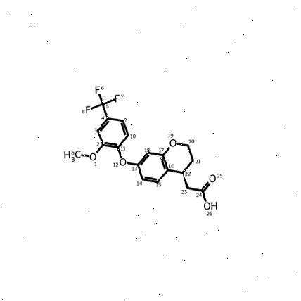 COc1cc(C(F)(F)F)ccc1Oc1ccc2c(c1)OCC[C@H]2CC(=O)O